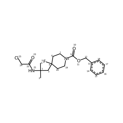 CC(C)(CC1(F)CCN(C(=O)OCc2ccccc2)CC1)NC(=O)CCl